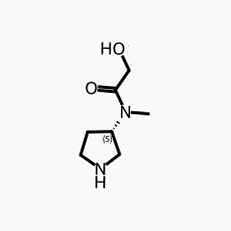 CN(C(=O)CO)[C@H]1CCNC1